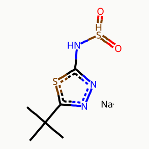 CC(C)(C)c1nnc(N[SH](=O)=O)s1.[Na]